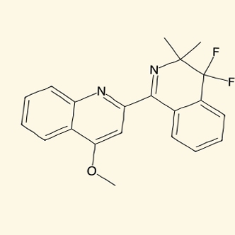 COc1cc(C2=NC(C)(C)C(F)(F)c3ccccc32)nc2ccccc12